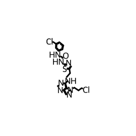 O=C(Nc1cccc(Cl)c1)Nc1ncc(CCNc2ncnc3cnn(CCCCl)c23)s1